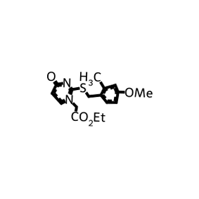 CCOC(=O)Cn1ccc(=O)nc1SCc1ccc(OC)cc1C